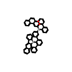 c1ccc(-c2ccccc2N(c2cccc(-c3cccc(-c4ccccc4)c3-n3c4ccccc4c4cc5ccccc5cc43)c2)c2ccc3ccc4ccccc4c3c2)cc1